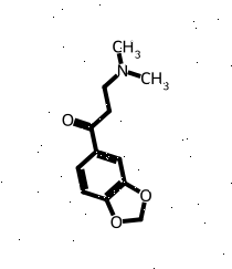 CN(C)CCC(=O)c1ccc2c(c1)OCO2